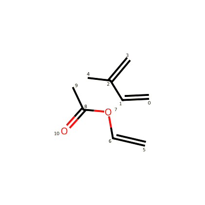 C=CC(=C)C.C=COC(C)=O